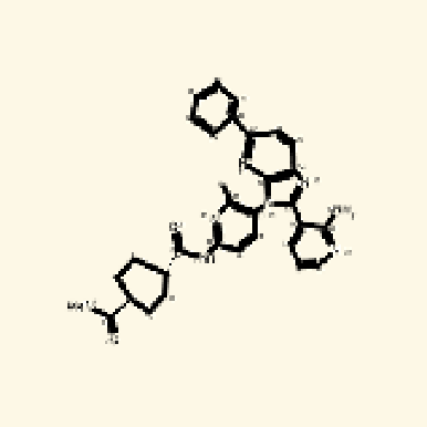 CNC(=O)[C@H]1CC[C@H](C(=O)Nc2ccc(-n3c(-c4cccnc4N)nc4ccc(-c5ccccc5)nc43)c(C)n2)CC1